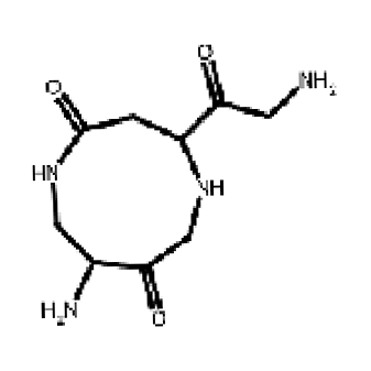 NCC(=O)C1CC(=O)NCC(N)C(=O)CN1